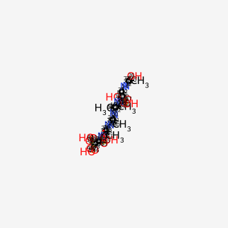 Cc1cc(N=Nc2ccc3c(O)c(N=Nc4cc(C)c(N=Nc5ccc(N=Nc6ccc(N=Nc7cc8c(S(=O)(=O)O)cc(S(=O)(=O)O)cc8cc7S(=O)(=O)O)c(C)c6)c(C)c5)cc4C)c(S(=O)(=O)O)cc3c2)ccc1O